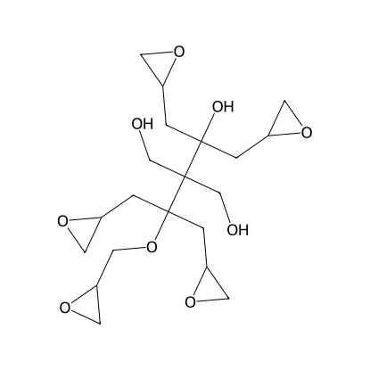 OCC(CO)(C(O)(CC1CO1)CC1CO1)C(CC1CO1)(CC1CO1)OCC1CO1